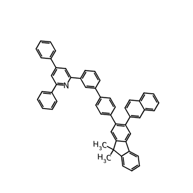 CC1(C)c2ccccc2-c2cc(-c3ccc4ccccc4c3)c(-c3ccc(-c4cccc(-c5cc(-c6ccccc6)cc(-c6ccccc6)n5)c4)cc3)cc21